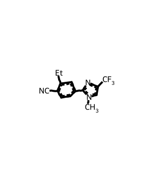 CCc1cc(-c2nc(C(F)(F)F)cn2C)ccc1C#N